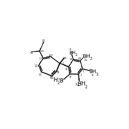 Bc1c(B)c(B)c(C2(C)C=CC=CC(C(C)C)=C2)c(B)c1B